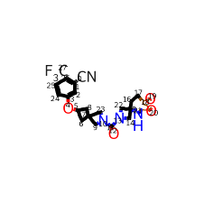 N#Cc1cc(OC2CC3(C2)CN(C(=O)N2CC4(CCS(=O)(=O)N4)C2)C3)ccc1C(F)(F)F